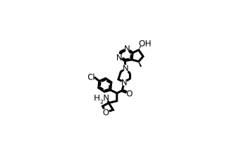 C[C@@H]1C[C@@H](O)c2ncnc(N3CCN(C(=O)C(CC4(N)COC4)c4ccc(Cl)cc4)CC3)c21